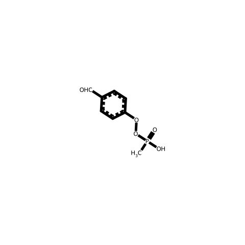 CP(=O)(O)OOc1ccc(C=O)cc1